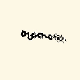 CC(C)(C)OC(=O)N1CCC(CCc2ccc(-c3ncc4c(n3)CCCN4Cc3ccccc3)cn2)CC1